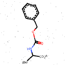 CCC(C)C(NC(=O)OCc1ccccc1)C(=O)O